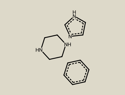 C1CNCCN1.c1c[nH]cn1.c1ccccc1